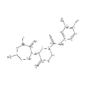 CN1CC(O)CN/C(=C2/CN(C(=O)Nc3ccc(F)c(Cl)c3)CCC2=N)C1=O